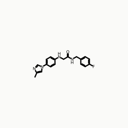 Cc1cn(-c2ccc(NCC(=O)NCc3ccc(F)cc3)cc2)cn1